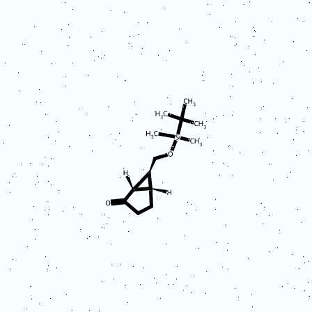 CC(C)(C)[Si](C)(C)OC[C@H]1[C@@H]2CCC(=O)[C@@H]21